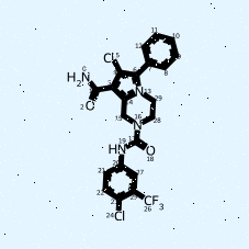 NC(=O)c1c(Cl)c(-c2ccccc2)n2c1CN(C(=O)Nc1ccc(Cl)c(C(F)(F)F)c1)CC2